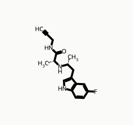 C#CCNC(=O)[C@@H](C)N[C@H](C)Cc1c[nH]c2ccc(F)cc12